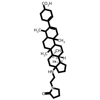 CC1C(C2=CCC(C(=O)O)CC2)=CCC2(C)C1CCC1(C)C2CC[C@@H]2[C@H]3CCCC3(NCCN3CCCC3=O)CC[C@]21C